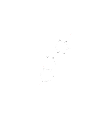 C=C(Cc1ccc(O)cc1O)c1ccc(O)cc1